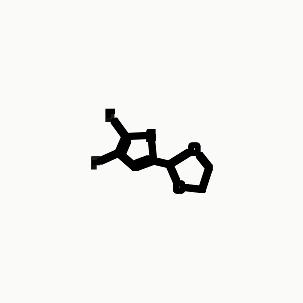 Fc1cc(C2OCCO2)sc1F